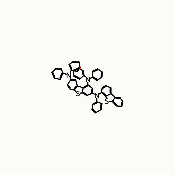 c1ccc(N(c2ccccc2)c2ccc3sc4cc(N(c5ccccc5)c5cccc6c5sc5ccccc56)cc(N(c5ccccc5)c5ccccc5)c4c3c2)cc1